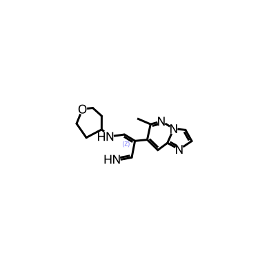 Cc1nn2ccnc2cc1/C(C=N)=C/NC1CCOCC1